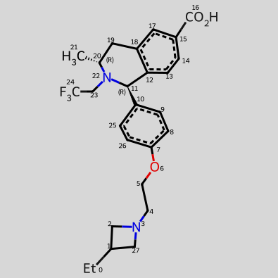 CCC1CN(CCOc2ccc([C@@H]3c4ccc(C(=O)O)cc4C[C@@H](C)N3CC(F)(F)F)cc2)C1